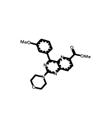 COC(=O)c1ccc2nc(N3CCOCC3)nc(-c3cccc(OC)c3)c2n1